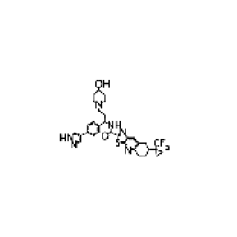 O=C(N[C@H](CCN1CCC(O)CC1)c1ccc(-c2cn[nH]c2)cc1)c1nc2cc3c(nc2s1)CC[C@H](C1(C(F)(F)F)CC1)C3